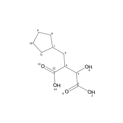 O=C(O)C(O)C(CC1CCCC1)C(=O)O